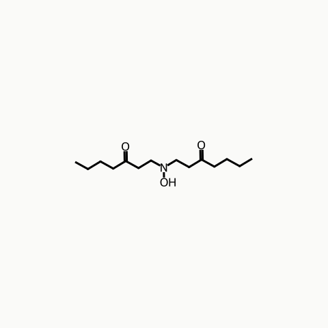 CCCCC(=O)CCN(O)CCC(=O)CCCC